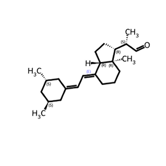 C[C@@H]1CC(=C/C=C2\CCC[C@]3(C)[C@@H]([C@H](C)C=O)CC[C@@H]23)C[C@@H](C)C1